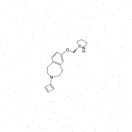 C1=CC(N2CCc3ccc(OC[C@H]4CCCN4)cc3CC2)=C1